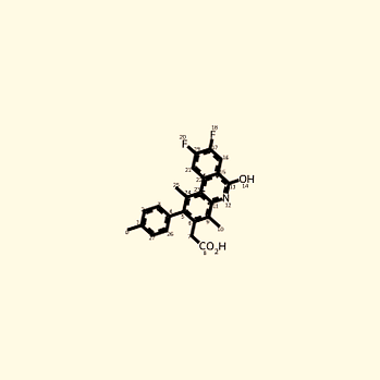 Cc1ccc(-c2c(CC(=O)O)c(C)c3nc(O)c4cc(F)c(F)cc4c3c2C)cc1